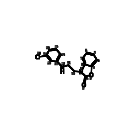 O=c1oc2ccccc2n1CCNc1cccc(Cl)c1